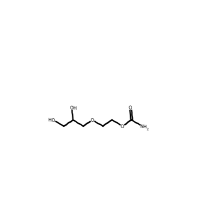 NC(=O)OCCOCC(O)CO